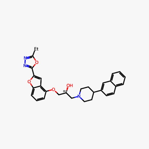 CCc1nnc(-c2cc3c(OC[C@@H](O)CN4CCC(c5ccc6ccccc6c5)CC4)cccc3o2)o1